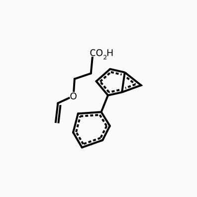 C=COCCC(=O)O.c1ccc(-c2ccc3cc2-3)cc1